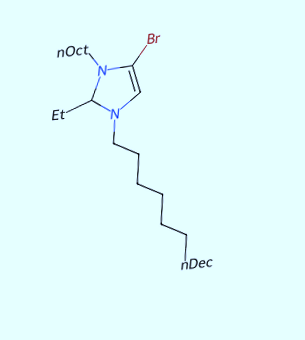 CCCCCCCCCCCCCCCCN1C=C(Br)N(CCCCCCCC)C1CC